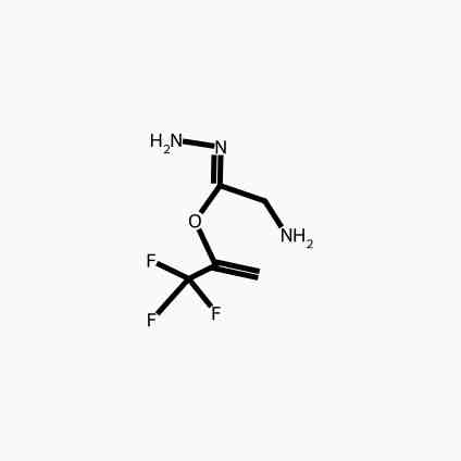 C=C(O/C(CN)=N\N)C(F)(F)F